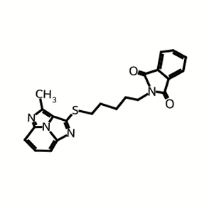 Cc1nc2cccc3nc(SCCCCCN4C(=O)c5ccccc5C4=O)c1n23